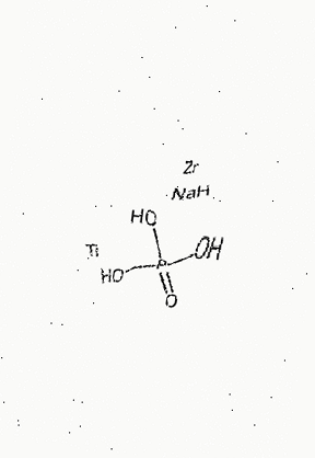 O=P(O)(O)O.[NaH].[Ti].[Zr]